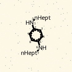 CCCCCCCNc1ccc(NCCCCCCC)cc1